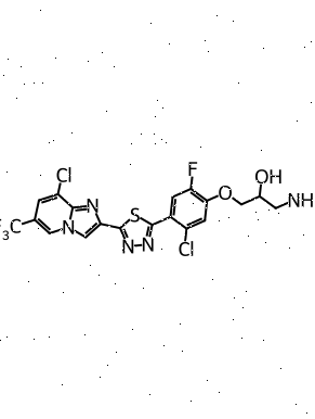 NCC(O)COc1cc(Cl)c(-c2nnc(-c3cn4cc(C(F)(F)F)cc(Cl)c4n3)s2)cc1F